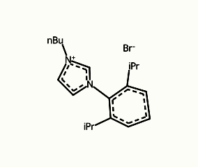 CCCC[n+]1ccn(-c2c(C(C)C)cccc2C(C)C)c1.[Br-]